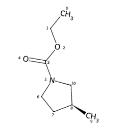 CCOC(=O)N1CC[C@H](C)C1